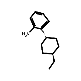 CC[C@H]1CC[C@H](c2ccccc2N)CC1